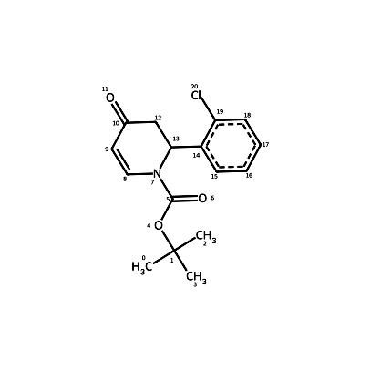 CC(C)(C)OC(=O)N1C=CC(=O)CC1c1ccccc1Cl